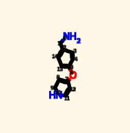 NCc1ccc(OC2=CCNC=C2)cc1